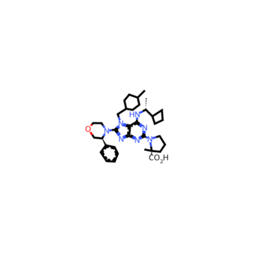 CC1CCC(Cn2c(N3CCOC[C@@H]3c3ccccc3)nc3nc(N4CCC[C@]4(C)C(=O)O)nc(N[C@H](C)C4CCC4)c32)CC1